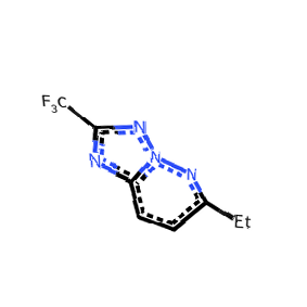 CCc1ccc2nc(C(F)(F)F)nn2n1